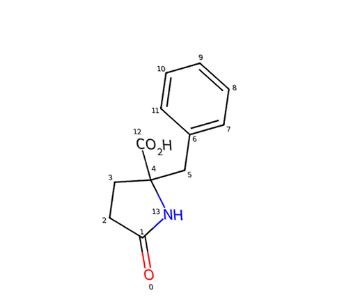 O=C1CCC(Cc2ccccc2)(C(=O)O)N1